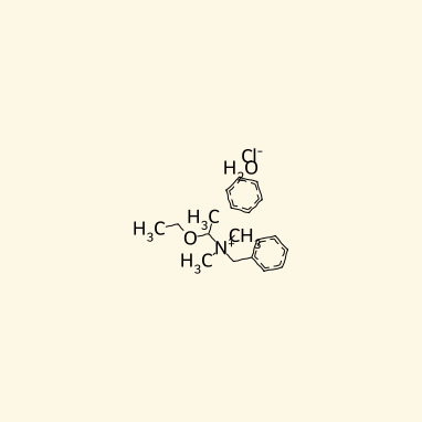 CCOC(C)[N+](C)(C)Cc1ccccc1.O.[Cl-].c1ccccc1